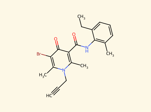 C#CCn1c(C)c(Br)c(=O)c(C(=O)Nc2c(C)cccc2CC)c1C